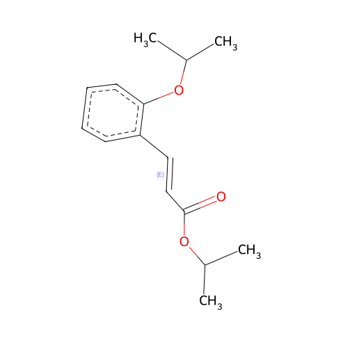 CC(C)OC(=O)/C=C/c1ccccc1OC(C)C